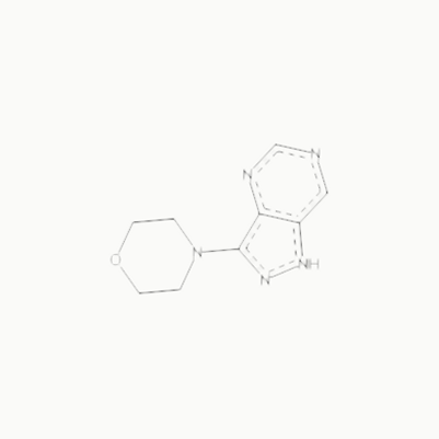 c1ncc2[nH]nc(N3CCOCC3)c2n1